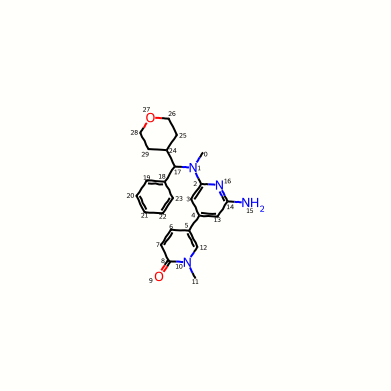 CN(c1cc(-c2ccc(=O)n(C)c2)cc(N)n1)C(c1ccccc1)C1CCOCC1